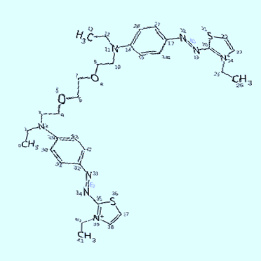 CCN(CCOCCOCCN(CC)c1ccc(/N=N/c2scc[n+]2CC)cc1)c1ccc(/N=N/c2scc[n+]2CC)cc1